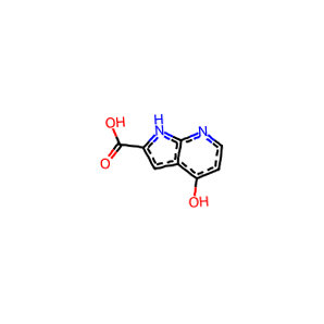 O=C(O)c1cc2c(O)ccnc2[nH]1